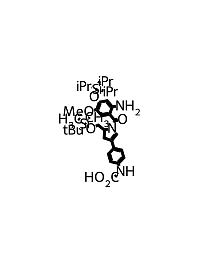 COc1cc(C(=O)N2C=C(c3ccc(NC(=O)O)cc3)CC2CO[Si](C)(C)C(C)(C)C)c(N)cc1O[Si](C(C)C)(C(C)C)C(C)C